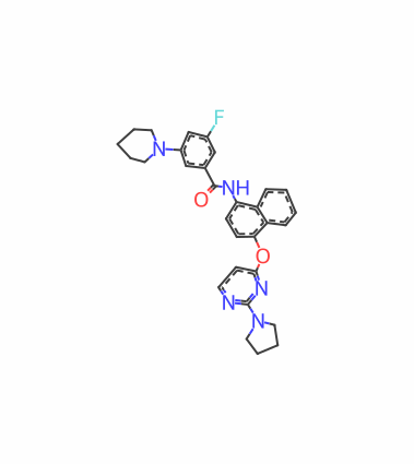 O=C(Nc1ccc(Oc2ccnc(N3CCCC3)n2)c2ccccc12)c1cc(F)cc(N2CCCCC2)c1